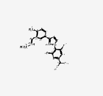 Cc1ccc(-c2ccn(-c3c(F)cc(C(F)F)cc3F)n2)cc1CNC(=O)O